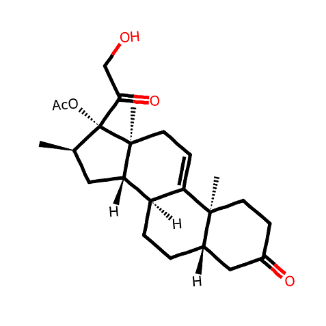 CC(=O)O[C@@]1(C(=O)CO)[C@H](C)C[C@H]2[C@@H]3CC[C@H]4CC(=O)CC[C@]4(C)C3=CC[C@@]21C